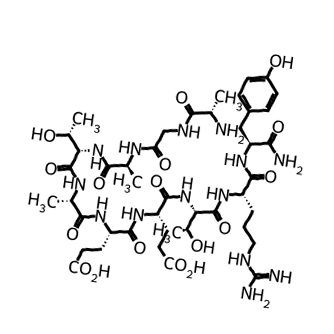 C[C@H](N)C(=O)NCC(=O)N[C@@H](C)C(=O)N[C@H](C(=O)N[C@@H](C)C(=O)N[C@@H](CCC(=O)O)C(=O)N[C@@H](CCC(=O)O)C(=O)N[C@H](C(=O)N[C@@H](CCCNC(=N)N)C(=O)N[C@@H](Cc1ccc(O)cc1)C(N)=O)[C@@H](C)O)[C@@H](C)O